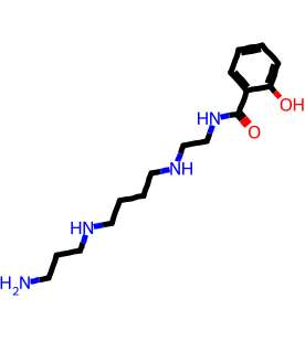 NCCCNCCCCNCCNC(=O)c1ccccc1O